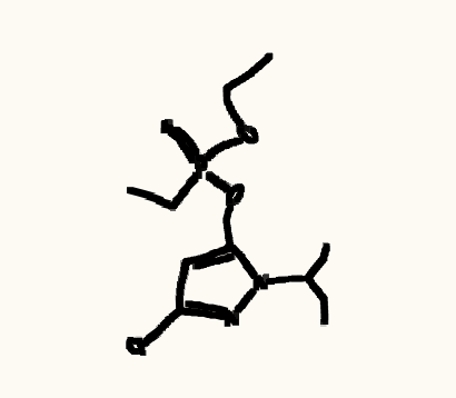 CCOP(=S)(CC)Oc1cc(Cl)nn1C(C)C